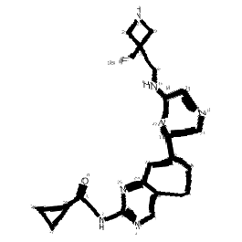 O=C(Nc1ncc2ccc(-c3cncc(NCC4(F)CNC4)n3)cc2n1)C1CC1